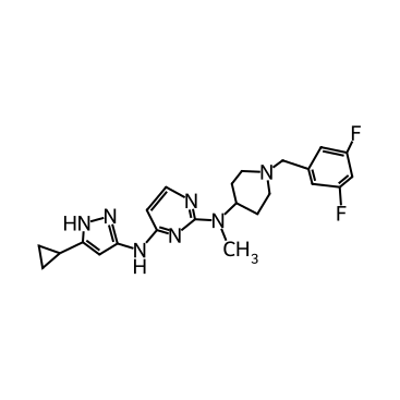 CN(c1nccc(Nc2cc(C3CC3)[nH]n2)n1)C1CCN(Cc2cc(F)cc(F)c2)CC1